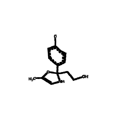 CC1=CNC(CCO)(c2ccc(Cl)cc2)O1